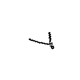 CCCCCCCCCCCCCCCCCc1n(Cc2ccccc2)cc[n+]1CCCCCCCCCC